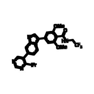 COc1cc(-c2cnc3cc(-c4cncnc4C(C)C)ccn23)cc(OC)c1C(=O)NCC(F)(F)F